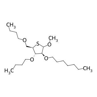 CCCCCCCO[C@@H]1C(OC)S[C@H](COCCCC)[C@H]1OCCCC